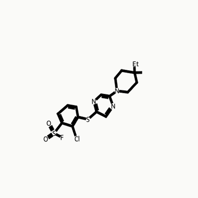 CCC1(C)CCN(c2cnc(Sc3cccc(S(=O)(=O)F)c3Cl)cn2)CC1